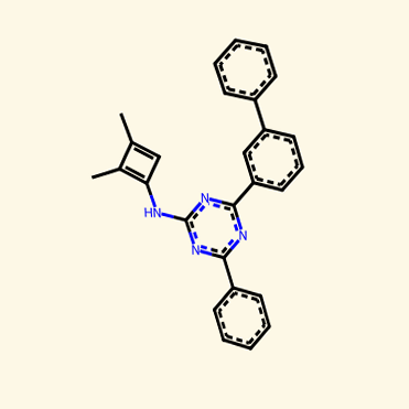 CC1=CC(Nc2nc(-c3ccccc3)nc(-c3cccc(-c4ccccc4)c3)n2)=C1C